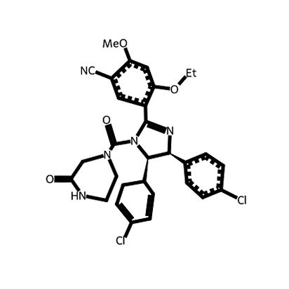 CCOc1cc(OC)c(C#N)cc1C1=N[C@@H](c2ccc(Cl)cc2)[C@@H](C2C=CC(Cl)=CC2)N1C(=O)N1CCNC(=O)C1